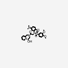 COc1ccc(S(=O)(=O)N(CC(=O)N(CCO)Cc2ccccn2)c2cc(N(C)C)ccc2Cl)cc1OC